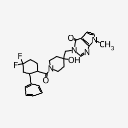 Cn1ccc2c(=O)n(CC3(O)CCN(C(=O)C4CCC(F)(F)CC4c4ccccc4)CC3)cnc21